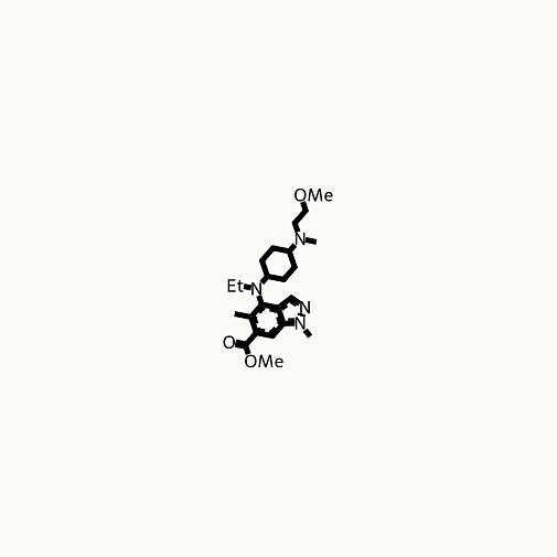 CCN(c1c(C)c(C(=O)OC)cc2c1cnn2C)C1CCC(N(C)CCOC)CC1